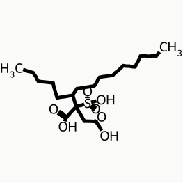 CCCCCCCCCC(CCCCC)C(CC(=O)O)(C(=O)O)S(=O)(=O)O